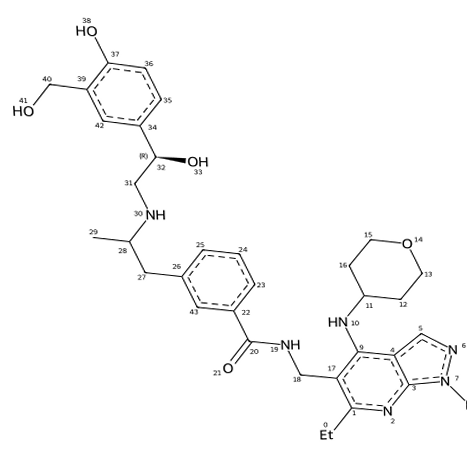 CCc1nc2c(cnn2CC)c(NC2CCOCC2)c1CNC(=O)c1cccc(CC(C)NC[C@H](O)c2ccc(O)c(CO)c2)c1